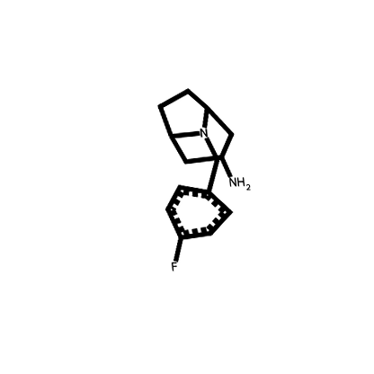 NC1CC2CCC(C1)N2Cc1ccc(F)cc1